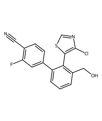 N#Cc1ccc(-c2cccc(CO)c2-c2scnc2Cl)cc1F